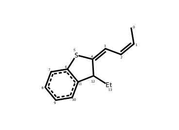 C/C=C\C=C1\Sc2ccccc2C1CC